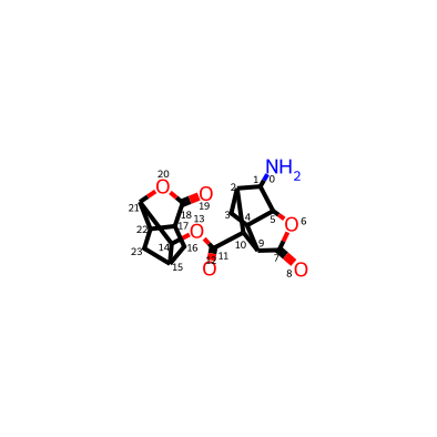 NC1C2CC3C1OC(=O)C3C2C(=O)OC1C2CC3C(=O)OC1C3C2